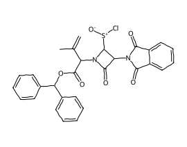 C=C(C)C(C(=O)OC(c1ccccc1)c1ccccc1)N1C(=O)C(N2C(=O)c3ccccc3C2=O)C1[S+]([O-])Cl